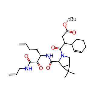 C=CCC[C@@H](NC(=O)[C@@H]1C2C(CN1C(=O)C(CC(=O)OC(C)(C)C)C1C=CCCC1)C2(C)C)C(=O)C(=O)NCC=C